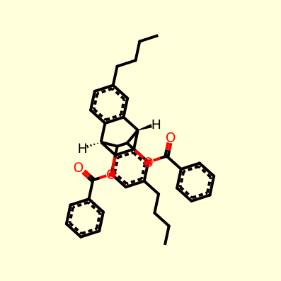 CCCCc1ccc2c(c1)[C@H]1c3cc(CCCC)ccc3[C@H]2C(OC(=O)c2ccccc2)C1OC(=O)c1ccccc1